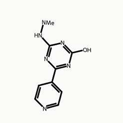 CNNc1nc(O)nc(-c2ccncc2)n1